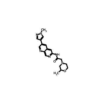 CC1CN(CC(=O)Nc2cc3cc(-c4cnn(C)c4)cnc3cn2)CCO1